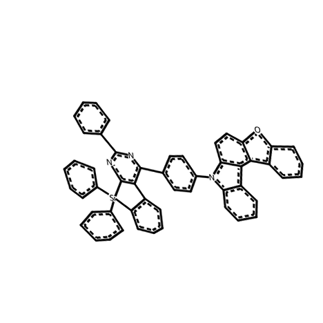 c1ccc(-c2nc(-c3ccc(-n4c5ccccc5c5c6c(ccc54)oc4ccccc46)cc3)c3c(n2)[Si](c2ccccc2)(c2ccccc2)c2ccccc2-3)cc1